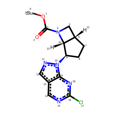 CC(C)(C)OC(=O)N1C[C@@H]2CC[C@@H](n3ncc4cnc(Cl)nc43)[C@@H]21